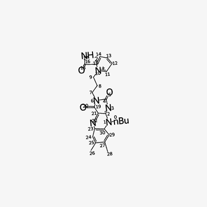 CCCCn1c2nc(=O)n(CCC[n+]3ccccc3C(N)=O)c(=O)c-2nc2cc(C)c(C)cc21